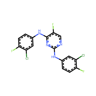 Fc1ccc(Nc2ncc(F)c(Nc3ccc(F)c(Cl)c3)n2)cc1Cl